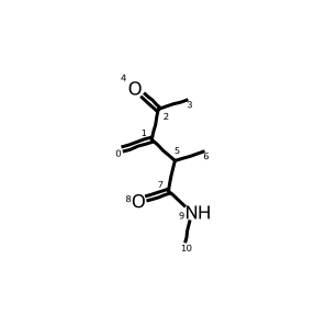 C=C(C(C)=O)C(C)C(=O)NC